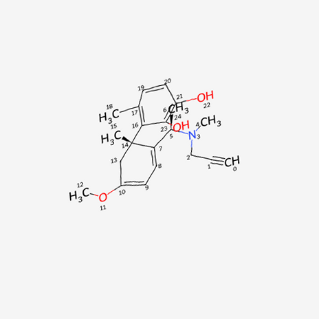 C#CCN(C)[C@H](C)C1=CC=C(OC)C[C@]1(C)c1c(C)ccc(O)c1O